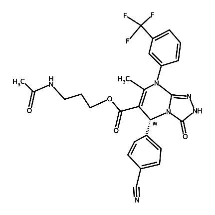 CC(=O)NCCCOC(=O)C1=C(C)N(c2cccc(C(F)(F)F)c2)c2n[nH]c(=O)n2[C@@H]1c1ccc(C#N)cc1